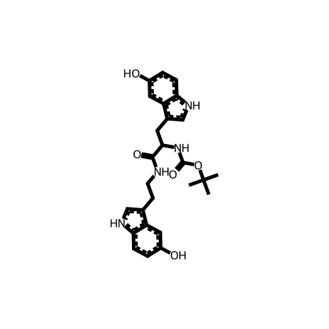 CC(C)(C)OC(=O)NC(Cc1c[nH]c2ccc(O)cc12)C(=O)NCCc1c[nH]c2ccc(O)cc12